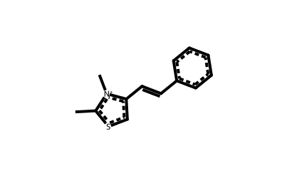 Cc1scc(C=Cc2ccccc2)[n+]1C